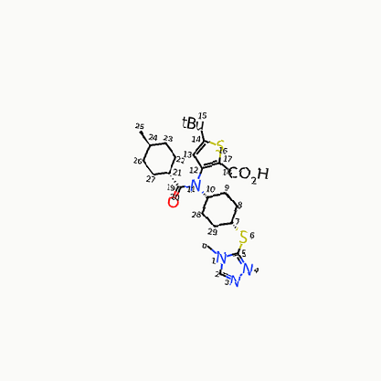 Cn1cnnc1S[C@H]1CC[C@@H](N(c2cc(C(C)(C)C)sc2C(=O)O)C(=O)[C@H]2CC[C@H](C)CC2)CC1